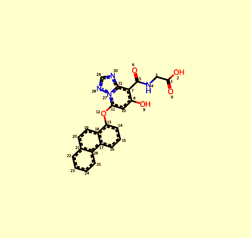 O=C(O)CNC(=O)c1c(O)cc(Oc2cccc3c2ccc2ccccc23)n2ncnc12